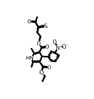 CCOC(=O)C1=C(C)NC(C)=C(C(=O)OCCC(=S)C(C)=O)C1c1cccc([N+](=O)[O-])c1